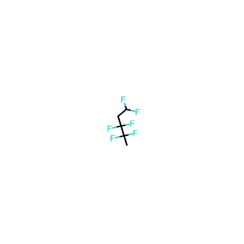 CC(F)(F)C(F)(F)CC(F)F